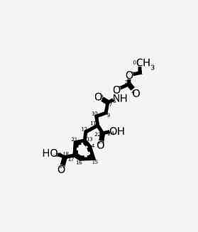 CCOC(=O)ONC(=O)CCC(Cc1cccc(C(=O)O)c1)C(=O)O